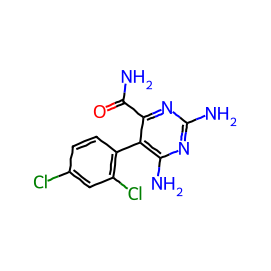 NC(=O)c1nc(N)nc(N)c1-c1ccc(Cl)cc1Cl